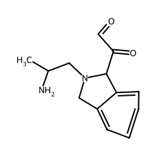 CC(N)CN1Cc2ccccc2C1C(=O)C=O